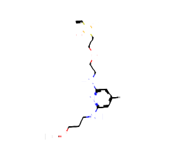 C=CS(=O)(=O)CCOCCNc1cc(C)cc(NCCCOC)n1